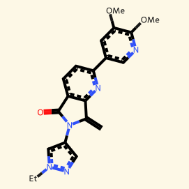 C=C1c2nc(-c3cnc(OC)c(OC)c3)ccc2C(=O)N1c1cnn(CC)c1